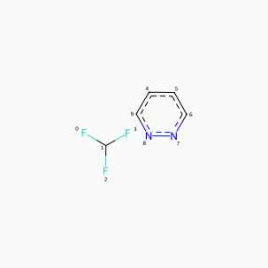 FC(F)F.c1ccnnc1